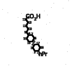 CCC[C@H]1CC[C@H](C2CCC(CCCCCC(=O)O)CC2)CC1